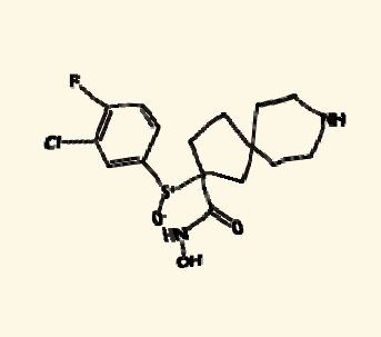 O=C(NO)C1([S+]([O-])c2ccc(F)c(Cl)c2)CCC2(CCNCC2)C1